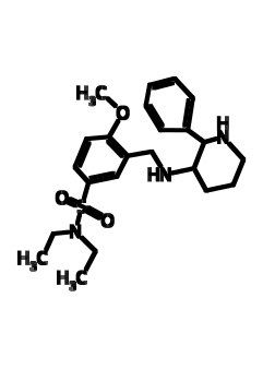 CCN(CC)S(=O)(=O)c1ccc(OC)c(CNC2CCCNC2c2ccccc2)c1